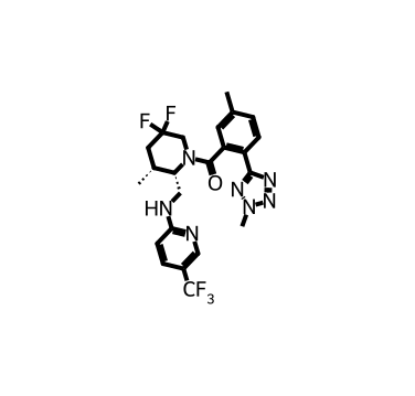 Cc1ccc(-c2nnn(C)n2)c(C(=O)N2CC(F)(F)C[C@@H](C)[C@H]2CNc2ccc(C(F)(F)F)cn2)c1